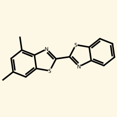 Cc1cc(C)c2nc(-c3nc4ccccc4s3)sc2c1